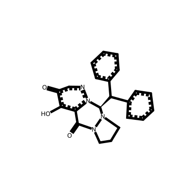 O=C1c2c(O)c(=O)cnn2[C@@H](C(c2ccccc2)c2ccccc2)N2CCCN12